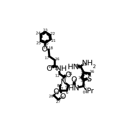 CC(C)[C@@H](NC(=O)[C@@H]1CC2(CN1C(=O)CNC(=O)CCCOc1ccccc1)OCCO2)c1cc(C(=N)N)cs1